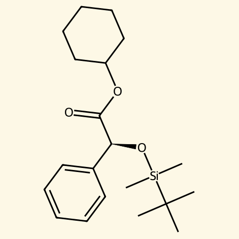 CC(C)(C)[Si](C)(C)O[C@H](C(=O)OC1CCCCC1)c1ccccc1